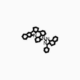 c1ccc(-c2nc(-n3c4cccc5c6cccc7c8cc9ccccc9cc8n(c8cccc3c8c54)c67)nc3c2ccc2ccccc23)cc1